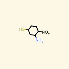 NC1CC(S)CCC1[N+](=O)[O-]